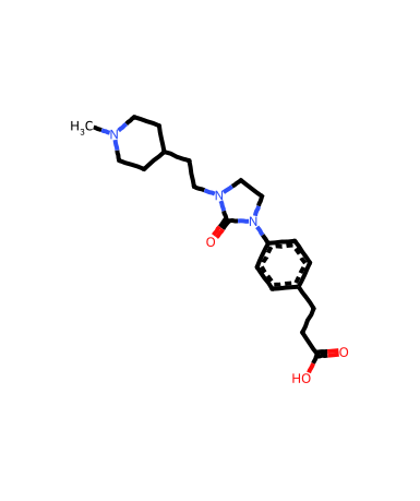 CN1CCC(CCN2CCN(c3ccc(CCC(=O)O)cc3)C2=O)CC1